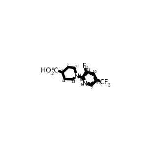 O=C(O)C1CCN(c2ncc(C(F)(F)F)cc2F)CC1